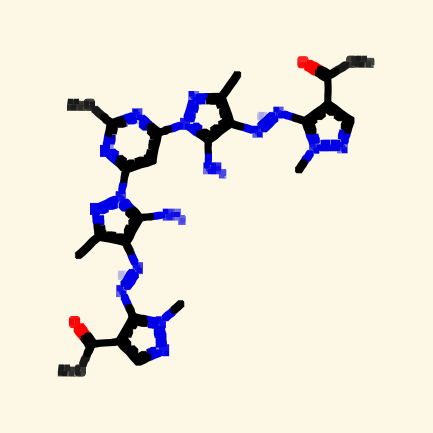 COC(=O)c1cnn(C)c1/N=N/c1c(C)nn(-c2cc(-n3nc(C)c(/N=N/c4c(C(=O)OC)cnn4C)c3N)nc(OC)n2)c1N